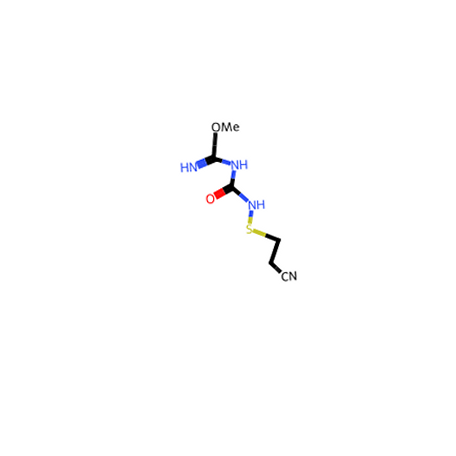 COC(=N)NC(=O)NSCCC#N